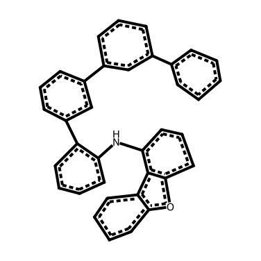 c1ccc(-c2cccc(-c3cccc(-c4ccccc4Nc4cccc5oc6ccccc6c45)c3)c2)cc1